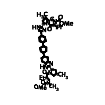 CC[C@@H](CN(C)C(=O)OC)C(=O)N1C[C@@H](C)C[C@H]1c1nc2cc(-c3ccc(-c4ccc(-c5c[nH]c([C@@H]6C[C@H](C)CN6C(=O)[C@H](C(C)C)N(C)C(=O)OC)n5)cc4)cc3)ccc2[nH]1